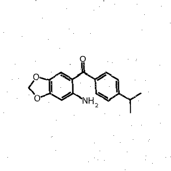 CC(C)c1ccc(C(=O)c2cc3c(cc2N)OCO3)cc1